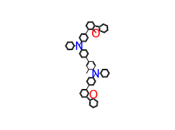 CC1C=C(c2ccc(N(c3ccccc3)c3ccc(-c4cccc5c4oc4ccccc45)cc3)cc2)C=CC1N(c1ccccc1)c1ccc(-c2cccc3c2oc2ccccc23)cc1